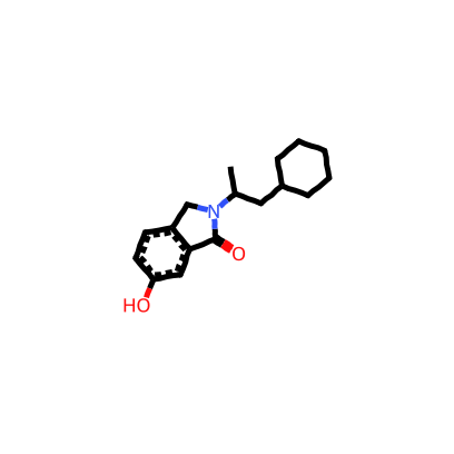 CC(CC1CCCCC1)N1Cc2ccc(O)cc2C1=O